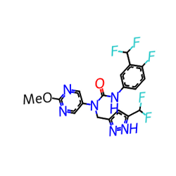 COc1ncc(N(Cc2cc(C(F)F)[nH]n2)C(=O)Nc2ccc(F)c(C(F)F)c2)cn1